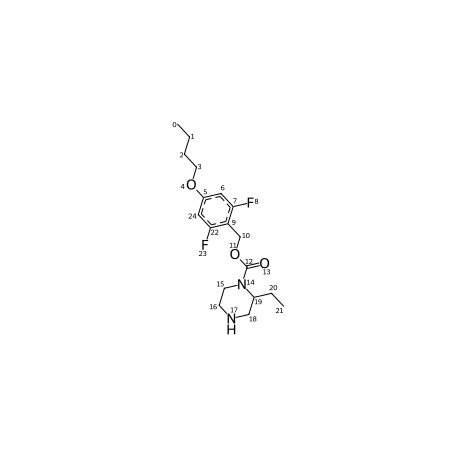 CCCCOc1cc(F)c(COC(=O)N2CCNCC2CC)c(F)c1